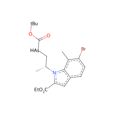 CCOC(=O)c1cc2ccc(Br)c(C)c2n1[C@H](C)C[AsH]C(=O)OC(C)(C)C